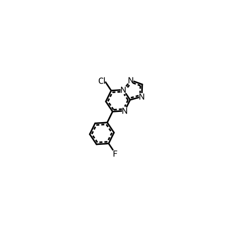 Fc1cccc(-c2cc(Cl)n3ncnc3n2)c1